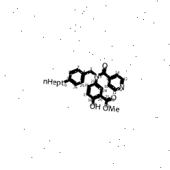 CCCCCCCc1ccc(CN(C(=O)c2ccncc2)c2ccc(O)c(C(=O)OC)c2)cc1